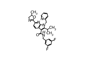 CC1CN=C(c2ccc3c(C(=O)NCc4cc(F)cc(F)c4)c(C(C)C)n(Cc4ccccn4)c3n2)O1